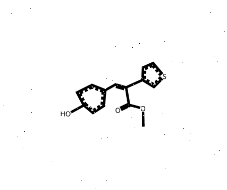 COC(=O)C(=Cc1ccc(O)cc1)c1ccsc1